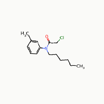 CCCCCCN(C(=O)CCl)c1cccc(C)c1